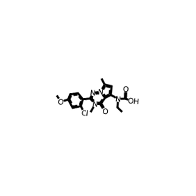 CCN(C(=O)O)c1cc(C)n2nc(-c3ccc(OC)cc3Cl)n(C)c(=O)c12